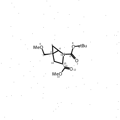 COC[C@@]12CC1N(C(=O)OC(C)(C)C)[C@H](C(=O)OC)C2